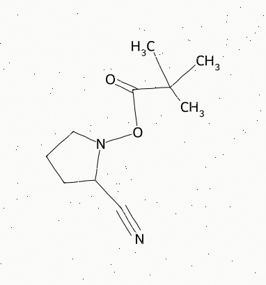 CC(C)(C)C(=O)ON1CCCC1C#N